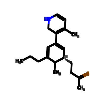 CCCC1=CC(C2=C(C)C=CNC2)=C[C@H](CCC(C)=S)C1C